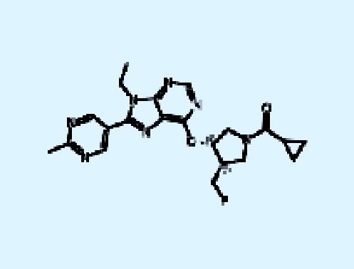 CCn1c(-c2cnc(C)nc2)nc2c(O[C@@H]3CN(C(=O)C4CC4)C[C@H]3CF)ncnc21